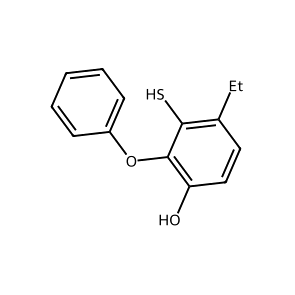 CCc1ccc(O)c(Oc2ccccc2)c1S